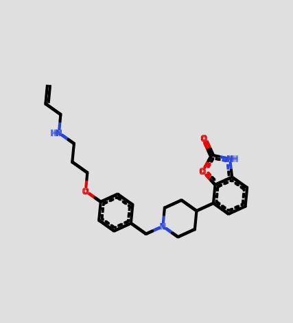 C=CCNCCCOc1ccc(CN2CCC(c3cccc4[nH]c(=O)oc34)CC2)cc1